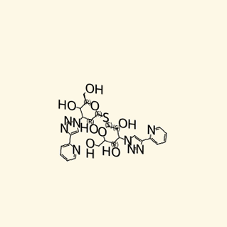 OCC1O[C@@H](S[C@@H]2O[C@H](CO)C(O)C(n3cc(-c4ccccn4)nn3)[C@H]2O)[C@@H](O)C(n2cc(-c3ccccn3)nn2)[C@H]1O